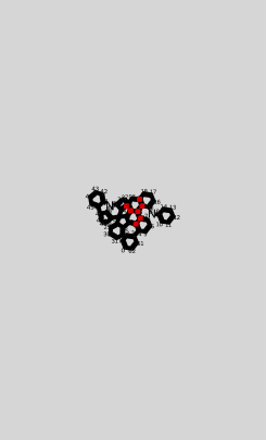 c1ccc(-c2ccc(N(c3ccccc3)c3ccccc3-c3ccc4c(c3)C3(c5ccccc5-4)c4ccccc4-n4c5ccccc5c5cccc3c54)c(-c3ccccc3)c2)cc1